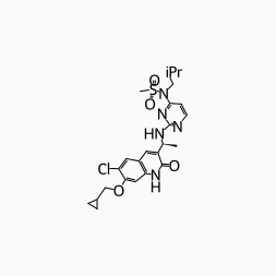 CC(C)CN(c1ccnc(N[C@@H](C)c2cc3cc(Cl)c(OCC4CC4)cc3[nH]c2=O)n1)S(C)(=O)=O